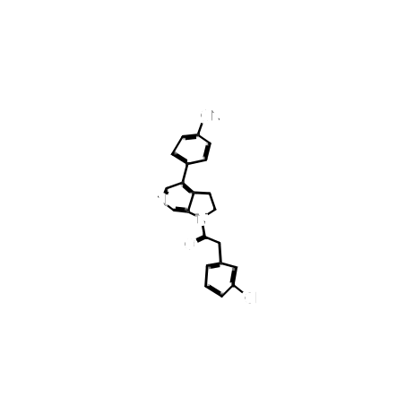 N#Cc1ccc(-c2cncc3c2CCN3C(=O)Cc2cccc(Cl)c2)cc1